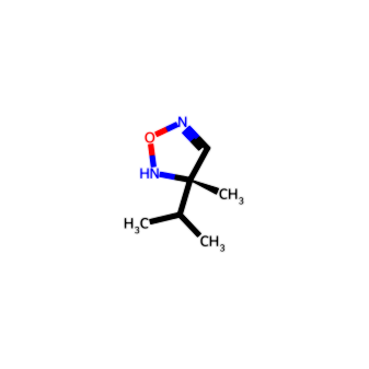 CC(C)[C@@]1(C)C=NON1